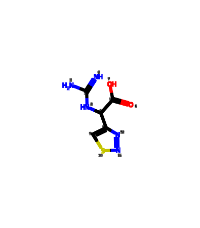 N=C(N)NC(C(=O)O)c1csnn1